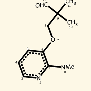 CNc1ncccc1OCC(C)(C)C=O